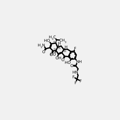 CC(C)[C@@H]1C(O)=C(C(N)=O)C(=O)[C@@]2(O)C(O)=C3C(=O)c4c(O)c(NC(=O)CNCC(F)(F)F)cc(F)c4C[C@H]3C[C@@H]12